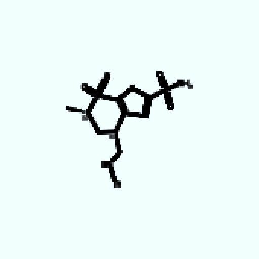 CCNC[C@H]1C[C@H](C)S(=O)(=O)c2sc(S(N)(=O)=O)cc21